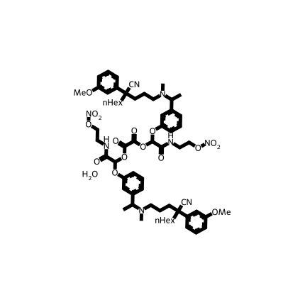 CCCCCCC(C#N)(CCCN(C)C(C)c1cccc(OC(OC(=O)C(=O)OC(Oc2cccc(C(C)N(C)CCCC(C#N)(CCCCCC)c3cccc(OC)c3)c2)C(=O)NCCO[N+](=O)[O-])C(=O)NCCO[N+](=O)[O-])c1)c1cccc(OC)c1.O